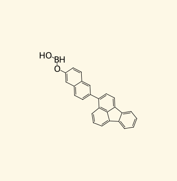 OBOc1ccc2cc(-c3ccc4c5c(cccc35)-c3ccccc3-4)ccc2c1